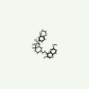 COc1ccc2ncc(F)c(CCN3CCC(C)(NS(=O)(=O)c4ccc5c(c4)OCCO5)CC3)c2n1